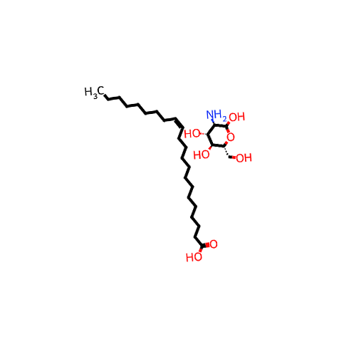 CCCCCCCC/C=C\CCCCCCCCCCCC(=O)O.N[C@H]1C(O)O[C@H](CO)[C@@H](O)[C@@H]1O